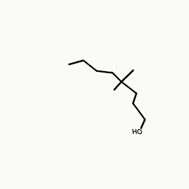 CCCCC(C)(C)CCCO